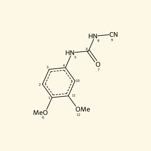 COc1ccc(NC(=O)NC#N)cc1OC